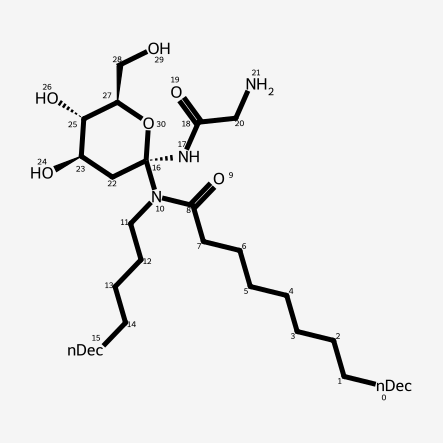 CCCCCCCCCCCCCCCCCC(=O)N(CCCCCCCCCCCCCC)[C@@]1(NC(=O)CN)C[C@@H](O)[C@H](O)[C@@H](CO)O1